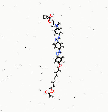 CCC(=O)OCCCCCCCCCOc1ccc(/N=N/c2ccc(/N=N/c3ccc(N(CC)CCOC(=O)CC)cc3)cc2)cc1